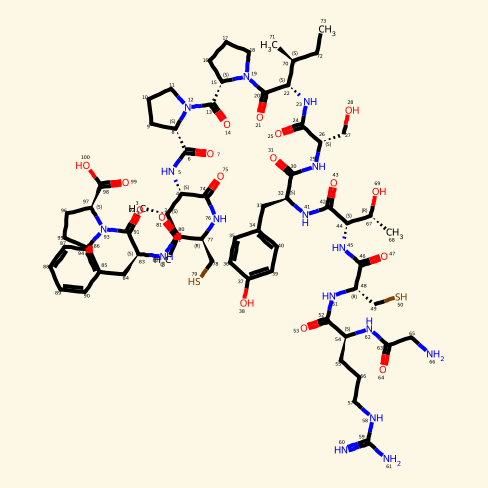 CC[C@H](C)[C@H](NC(=O)[C@@H]1CCCN1C(=O)[C@@H]1CCCN1C(=O)[C@@H](NC(=O)[C@H](CO)NC(=O)[C@H](Cc1ccc(O)cc1)NC(=O)[C@@H](NC(=O)[C@H](CS)NC(=O)[C@H](CCCNC(=N)N)NC(=O)CN)[C@@H](C)O)[C@@H](C)CC)C(=O)N[C@@H](CS)C(=O)N[C@@H](Cc1ccccc1)C(=O)N1CCC[C@H]1C(=O)O